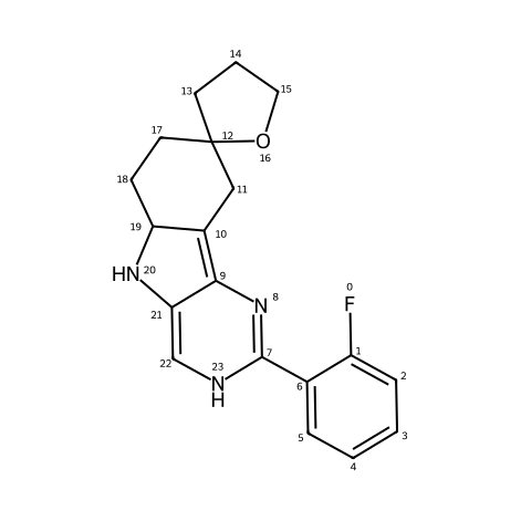 Fc1ccccc1C1=NC2=C3CC4(CCCO4)CCC3NC2=CN1